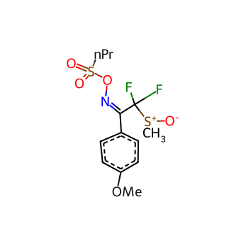 CCCS(=O)(=O)ON=C(c1ccc(OC)cc1)C(F)(F)[S+](C)[O-]